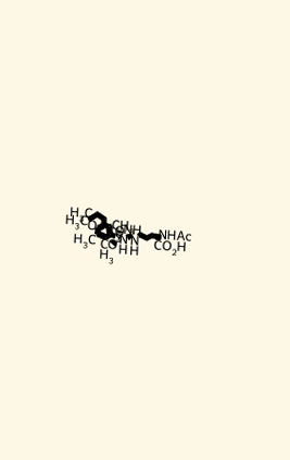 CC(=O)N[C@@H](CCCNC(=N)NS(=O)(=O)c1c(C)c(C)c2c(c1C)CCC(C)(C)O2)C(=O)O